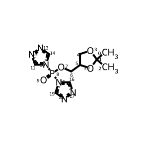 CC1(C)OCC(COP(=O)(n2cnnc2)n2cnnc2)O1